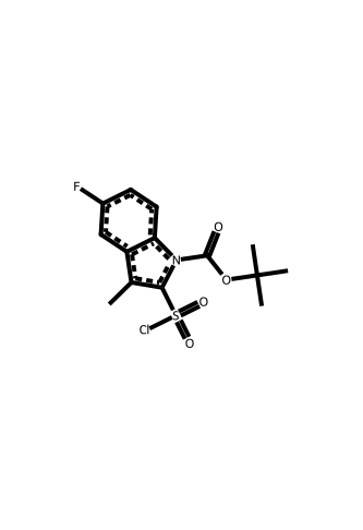 Cc1c(S(=O)(=O)Cl)n(C(=O)OC(C)(C)C)c2ccc(F)cc12